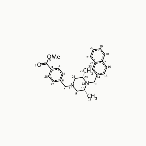 COC(=O)c1ccc(CN2C[C@@H](C)N(Cc3ccc4ccccc4c3)[C@@H](C)C2)cc1